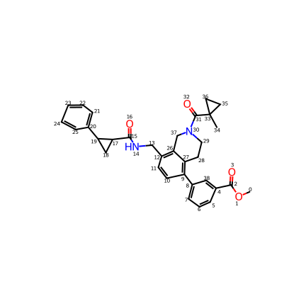 COC(=O)c1cccc(-c2ccc(CNC(=O)C3CC3c3ccccc3)c3c2CCN(C(=O)C2(C)CC2)C3)c1